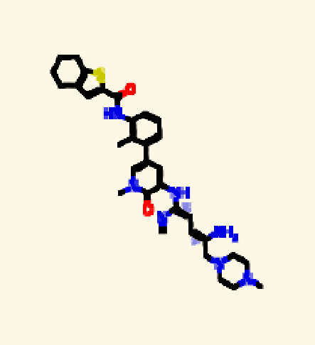 C=N/C(=C\C=C(/N)CN1CCN(C)CC1)Nc1cc(-c2cccc(NC(=O)c3cc4c(s3)CCCC4)c2C)cn(C)c1=O